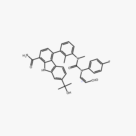 Cc1c(-c2ccc(C(N)=O)c3[nH]c4cc(C(C)(C)O)ccc4c23)cccc1N(C)C(=O)N(/C=C\C=O)c1ccc(F)cc1